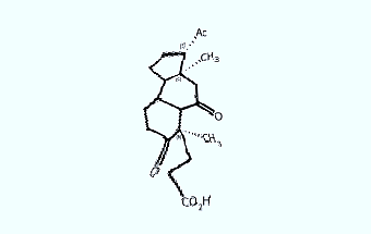 CC(=O)[C@H]1CCC2C3CCC(=O)[C@](C)(CCC(=O)O)C3C(=O)C[C@@]21C